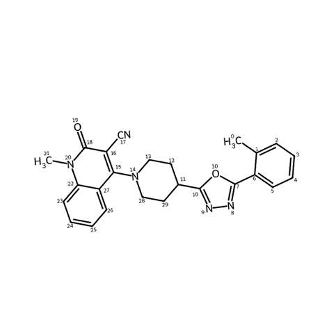 Cc1ccccc1-c1nnc(C2CCN(c3c(C#N)c(=O)n(C)c4ccccc34)CC2)o1